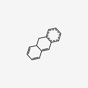 [C]1=CC=CC2Cc3ccccc3C=C12